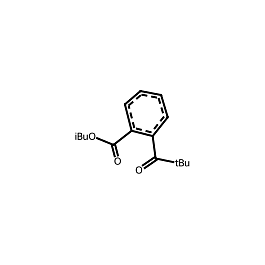 CC(C)COC(=O)c1ccccc1C(=O)C(C)(C)C